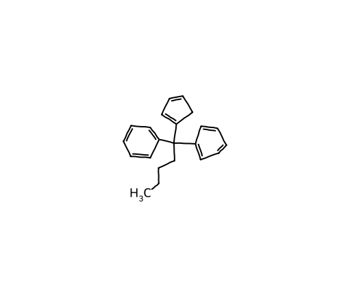 CCCCC(C1=CC=CC1)(c1ccccc1)c1ccccc1